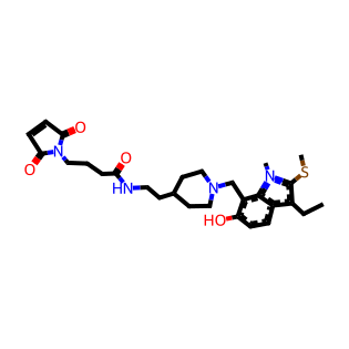 CCc1c(SC)n(C)c2c(CN3CCC(CCNC(=O)CCCN4C(=O)C=CC4=O)CC3)c(O)ccc12